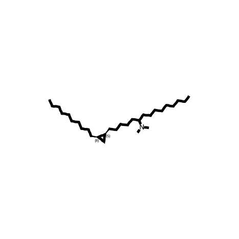 CCCCCCCCCC[C@@H]1C[C@@H]1CCCCCC(CCCCCCCCC)N(C)C